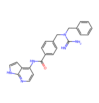 N=C(N)N(Cc1ccccc1)Cc1ccc(C(=O)Nc2ccnc3[nH]ccc23)cc1